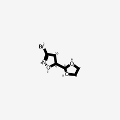 BrC1=NOC(C2OCCO2)C1